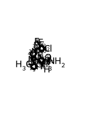 Cc1cccc(C)c1-n1nc2c(c1-c1cc(F)c(NC(N)=O)cc1F)CN(Cc1ccc(Cl)cc1C(F)(F)F)CC2